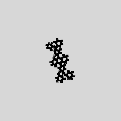 C1=CCC(N(c2ccccc2)c2ccc(-c3c4ccccc4c(C4=CC=C(N(c5ccccc5)c5ccccc5)CC4)c4ccccc34)cc2)C=C1